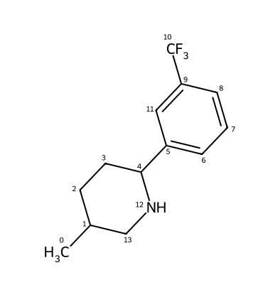 CC1CCC(c2cccc(C(F)(F)F)c2)NC1